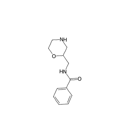 O=C(NCC1CNCCO1)c1ccccc1